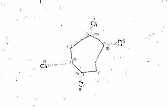 Cl[C@@H]1C[C@H](Cl)[C@H](Cl)C[C@@H]1Cl